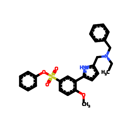 CCN(Cc1ccccc1)Cc1ccc(-c2cc(S(=O)(=O)Oc3ccccc3)ccc2OC)[nH]1